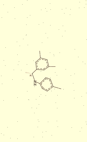 Cc1ccc(N[C@H](C)c2cc(C)cc(C)c2)cc1